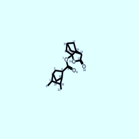 CC1C2CC(C(=O)OC34CC5CC(C(=O)O3)C4C5)C(C2)C1C